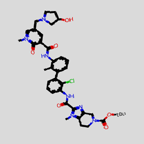 Cc1c(NC(=O)c2cc(CN3CCC(O)C3)cn(C)c2=O)cccc1-c1cccc(NC(=O)c2nc3c(n2C)CCN(C(=O)OC(C)(C)C)C3)c1Cl